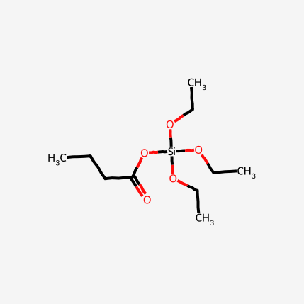 CCCC(=O)O[Si](OCC)(OCC)OCC